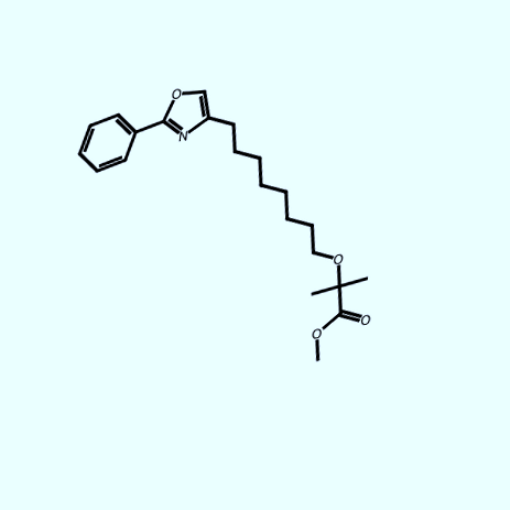 COC(=O)C(C)(C)OCCCCCCCCc1coc(-c2ccccc2)n1